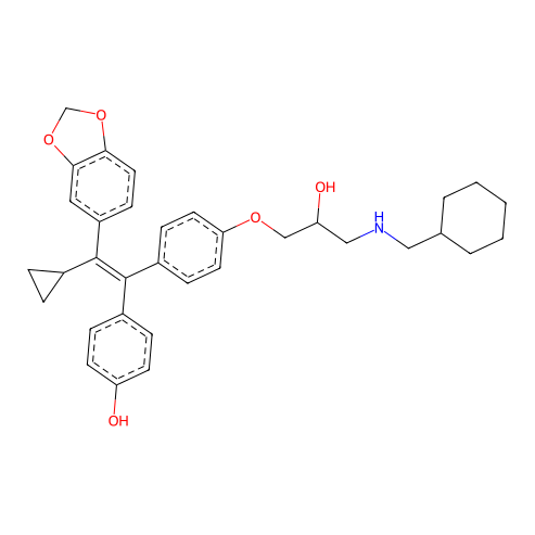 Oc1ccc(C(=C(c2ccc3c(c2)OCO3)C2CC2)c2ccc(OCC(O)CNCC3CCCCC3)cc2)cc1